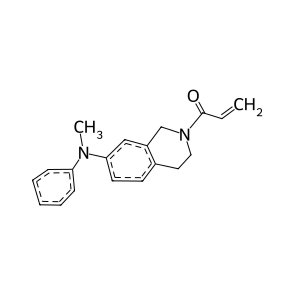 C=CC(=O)N1CCc2ccc(N(C)c3ccccc3)cc2C1